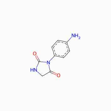 Nc1ccc(N2C(=O)CNC2=O)cc1